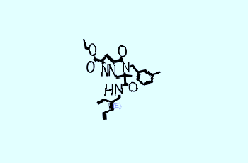 C=C/C=C(\C=C)CNC(=O)C1(C)Cn2nc(C(=O)OCC)cc2C(=O)N1Cc1cccc(C)c1